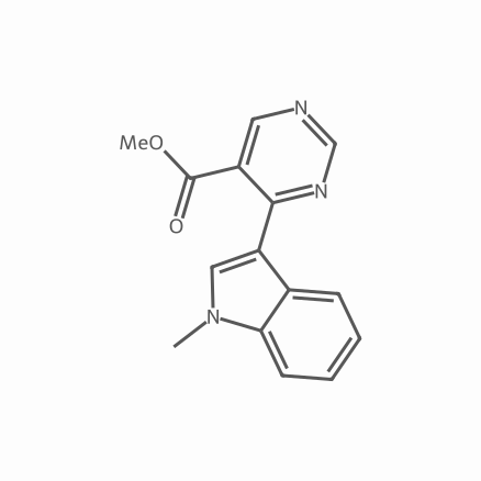 COC(=O)c1cncnc1-c1cn(C)c2ccccc12